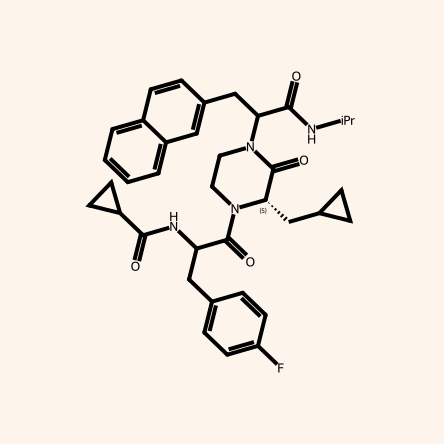 CC(C)NC(=O)C(Cc1ccc2ccccc2c1)N1CCN(C(=O)C(Cc2ccc(F)cc2)NC(=O)C2CC2)[C@@H](CC2CC2)C1=O